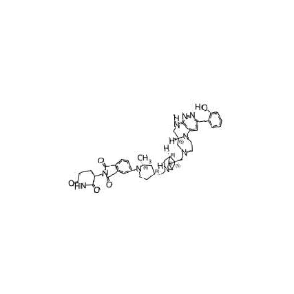 C[C@@H]1C[C@H](CN2C[C@@H]3[C@@H]4C2[C@@]34CN2CCN3c4cc(-c5ccccc5O)nnc4NC[C@H]3C2)CCN1c1ccc2c(c1)C(=O)N(C1CCC(=O)NC1=O)C2=O